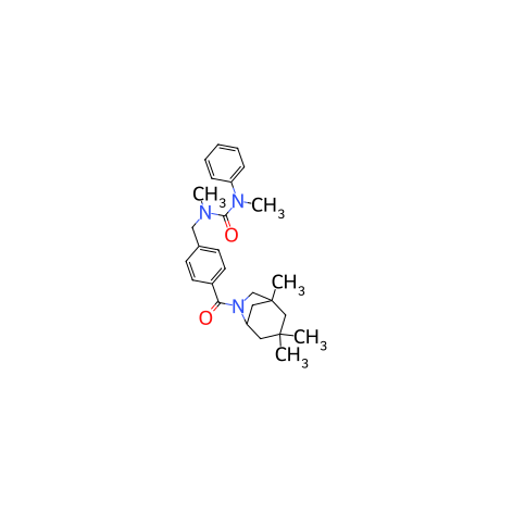 CN(Cc1ccc(C(=O)N2CC3(C)CC2CC(C)(C)C3)cc1)C(=O)N(C)c1ccccc1